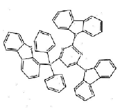 c1ccc([Si](c2ccccc2)(c2cc(-n3c4ccccc4c4ccccc43)nc(-n3c4ccccc4c4ccccc43)n2)c2cccc3c2sc2ccccc23)cc1